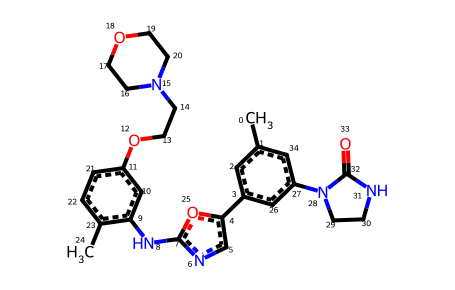 Cc1cc(-c2cnc(Nc3cc(OCCN4CCOCC4)ccc3C)o2)cc(N2CCNC2=O)c1